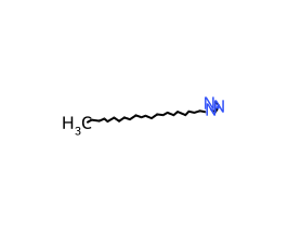 CCCCCCCCCCCCCCCCCCCCCCCn1cncn1